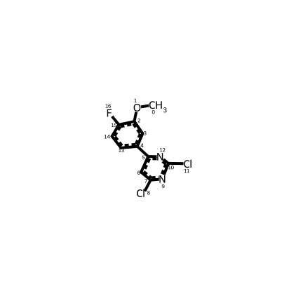 COc1cc(-c2cc(Cl)nc(Cl)n2)ccc1F